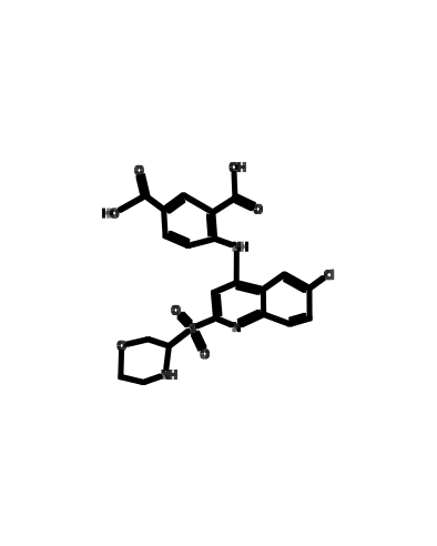 O=C(O)c1ccc(Nc2cc(S(=O)(=O)C3COCCN3)nc3ccc(Cl)cc23)c(C(=O)O)c1